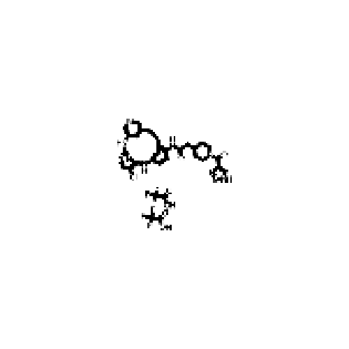 O=C(CC1CCN(C(=O)c2c[nH]nn2)CC1)Nc1ccc2cc1CCc1cncc(c1)Nc1ncc(Cl)c(n1)N2.O=C(O)C(F)(F)F.O=C(O)C(F)(F)F